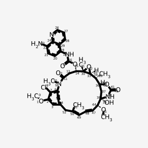 COc1cc2cc(c1Cl)N(C)C(=O)C[C@H](OC(=O)Nc1ccc(N)c3ncccc13)[C@]1(C)O[C@H]1[C@H](C)[C@@H]1C[C@@](O)(NC(=O)O1)[C@H](OC)/C=C/C=C(\C)C2